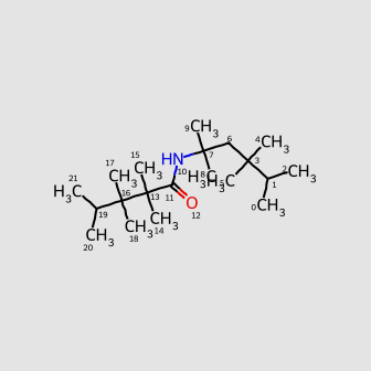 CC(C)C(C)(C)CC(C)(C)NC(=O)C(C)(C)C(C)(C)C(C)C